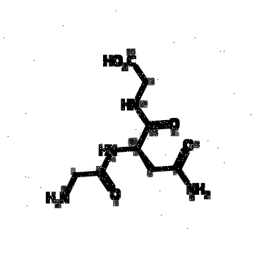 NCC(=O)N[C@H](CC(N)=O)C(=O)NCC(=O)O